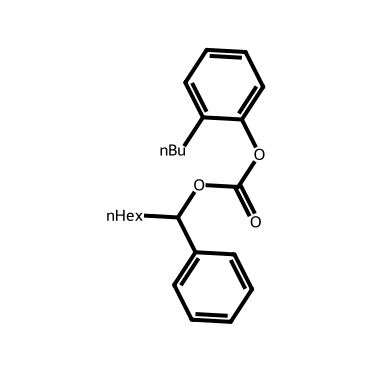 CCCCCCC(OC(=O)Oc1ccccc1CCCC)c1ccccc1